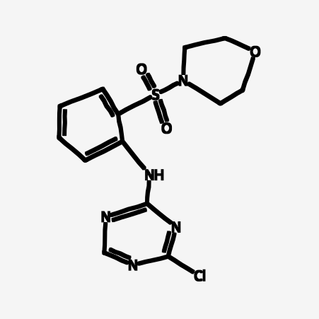 O=S(=O)(c1ccccc1Nc1ncnc(Cl)n1)N1CCOCC1